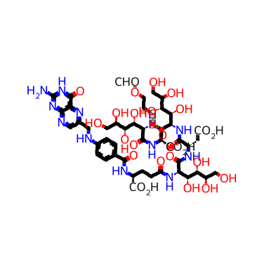 Nc1nc2ncc(CNc3ccc(C(=O)N[C@@H](CCC(=O)N[C@H](C(=O)N[C@@H](CC(=O)O)C(=O)N[C@H](C(=O)N[C@H](C(=O)N[C@@H](CSSCCOC=O)C(=O)O)[C@@H](O)[C@H](O)[C@H](O)CO)[C@@H](O)[C@H](O)C(O)CO)[C@@H](O)[C@H](O)[C@H](O)CO)C(=O)O)cc3)nc2c(=O)[nH]1